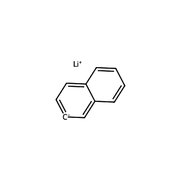 [Li+].[c-]1ccc2ccccc2c1